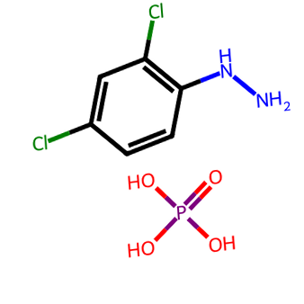 NNc1ccc(Cl)cc1Cl.O=P(O)(O)O